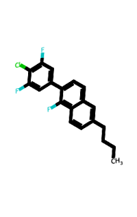 CCCCc1ccc2c(F)c(-c3cc(F)c(Cl)c(F)c3)ccc2c1